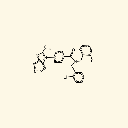 Cc1nc2cnccc2n1-c1ccc(C(=O)N(Cc2ccccc2Cl)Cc2ccccc2Cl)cc1